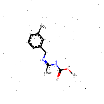 CO/C(=N/Cc1cccc([N+](=O)[O-])c1)NC(=O)OC(C)(C)C